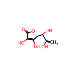 C=C(O)[C@H](O)[C@H]1OC(=O)C(O)=C1O